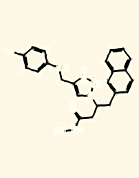 O=C(CC(Cc1ccc2ccccc2c1)N1C=C(CNc2ccc(F)cc2)NN1)NO